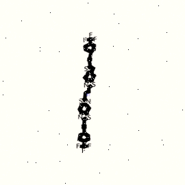 FC(F)(F)c1ccc(C#Cc2cc3cc4sc(/C=C/c5nc6cc7sc(C#Cc8ccc(C(F)(F)F)cc8)nc7cc6s5)nc4cc3s2)cc1